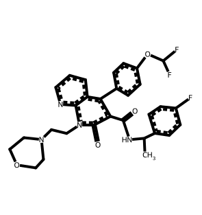 CC(NC(=O)c1c(-c2ccc(OC(F)F)cc2)c2cccnc2n(CCN2CCOCC2)c1=O)c1ccc(F)cc1